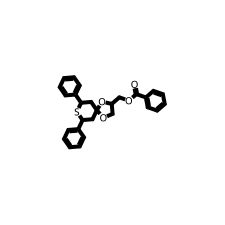 O=C(OCC1COC2(CC(c3ccccc3)SC(c3ccccc3)C2)O1)c1ccccc1